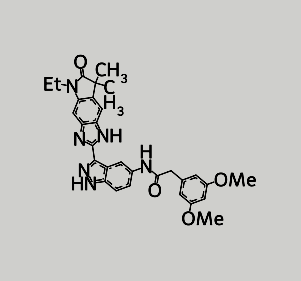 CCN1C(=O)C(C)(C)c2cc3[nH]c(-c4n[nH]c5ccc(NC(=O)Cc6cc(OC)cc(OC)c6)cc45)nc3cc21